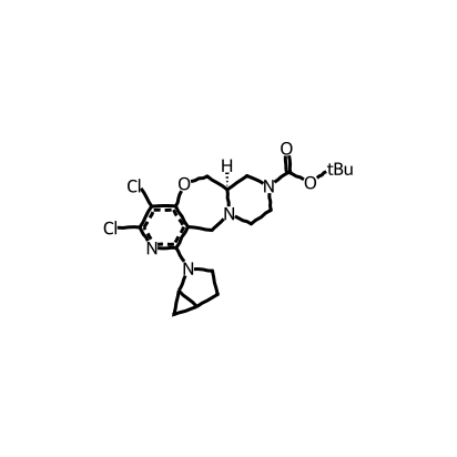 CC(C)(C)OC(=O)N1CCN2Cc3c(N4CCC5CC54)nc(Cl)c(Cl)c3OC[C@H]2C1